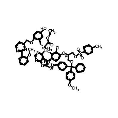 CCOC(=O)[C@@H](Cc1cc(O)ccc1OCc1ccnc(-c2ccccc2OC)n1)Oc1ncnc2oc(Br)c(-c3ccc(O[C@H](COC(c4ccccc4)(c4ccc(OC)cc4)c4ccc(OC)cc4)COS(=O)(=O)c4ccc(C)cc4)c(Cl)c3C)c12